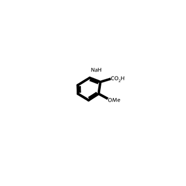 COc1ccccc1C(=O)O.[NaH]